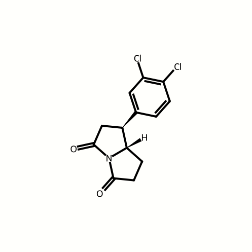 O=C1CC[C@H]2[C@H](c3ccc(Cl)c(Cl)c3)CC(=O)N12